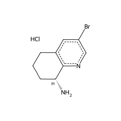 Cl.N[C@@H]1CCCc2cc(Br)cnc21